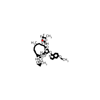 CCOc1ccc2c(O[C@@H]3C[C@H]4C(=O)N[C@]5(C(=O)NS(=O)(=O)C6(C)CC6)CC5/C=C\CC[C@H](C)C[C@@H](C)[C@H](NC(=O)O[C@H](C)C(F)(F)F)C(=O)N4C3)nccc2c1